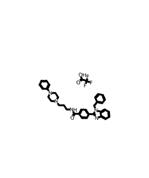 O=C(NCCCN1CCN(c2ccccc2)CC1)c1ccc(-c2nc3ccccc3n2Cc2ccccc2)cc1.O=C(O)C(F)(F)F